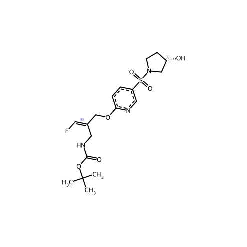 CC(C)(C)OC(=O)NC/C(=C\F)COc1ccc(S(=O)(=O)N2CC[C@H](O)C2)cn1